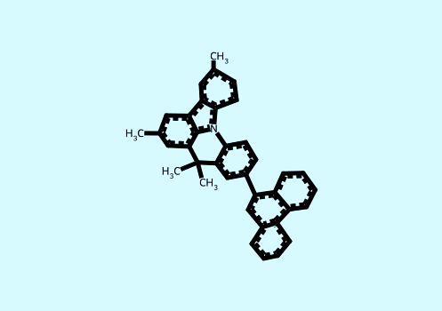 Cc1ccc2c(c1)c1cc(C)cc3c1n2-c1ccc(-c2cc4ccccc4c4ccccc24)cc1C3(C)C